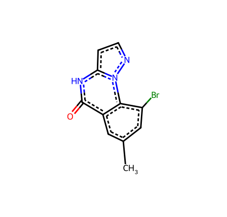 Cc1cc(Br)c2c(c1)c(=O)[nH]c1ccnn12